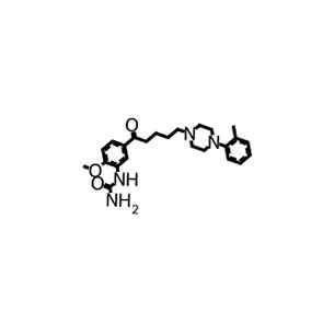 COc1ccc(C(=O)CCCCN2CCN(c3ccccc3C)CC2)cc1NC(N)=O